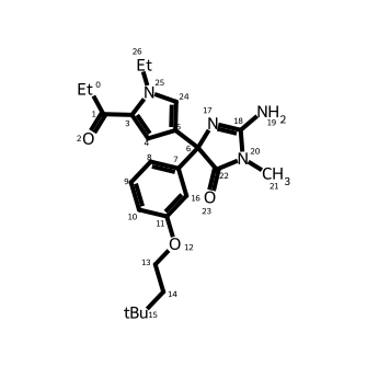 CCC(=O)c1cc(C2(c3cccc(OCCC(C)(C)C)c3)N=C(N)N(C)C2=O)cn1CC